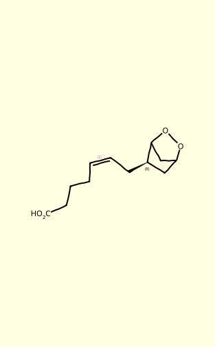 O=C(O)CCC/C=C\C[C@@H]1CC2CC1OO2